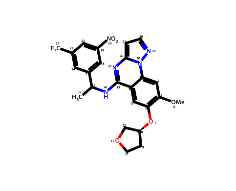 COc1cc2c(cc1O[C@H]1CCOC1)c(NC(C)c1cc([N+](=O)[O-])cc(C(F)(F)F)c1)nc1ccnn12